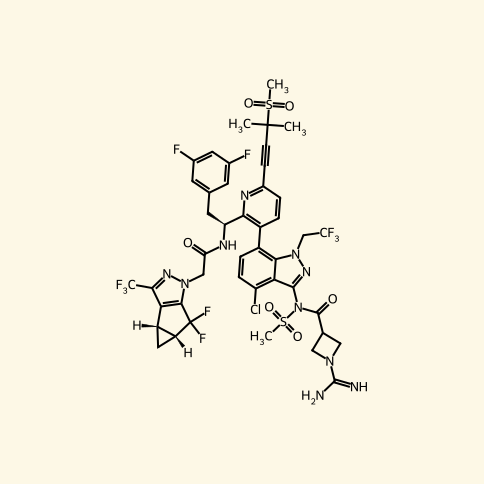 CC(C)(C#Cc1ccc(-c2ccc(Cl)c3c(N(C(=O)C4CN(C(=N)N)C4)S(C)(=O)=O)nn(CC(F)(F)F)c23)c([C@H](Cc2cc(F)cc(F)c2)NC(=O)Cn2nc(C(F)(F)F)c3c2C(F)(F)[C@@H]2C[C@H]32)n1)S(C)(=O)=O